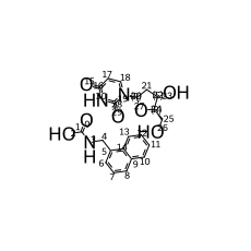 O=C(O)NCc1cccc2ccccc12.O=c1ccn([C@H]2C[C@H](O)[C@@H](CO)O2)c(=O)[nH]1